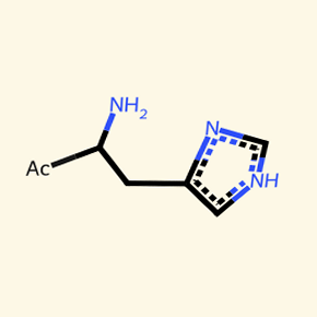 CC(=O)C(N)Cc1c[nH]cn1